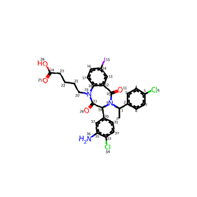 CC(c1ccc(Cl)cc1)N1C(=O)c2cc(I)ccc2N(CCCCC(=O)O)C(=O)C1c1ccc(Cl)c(N)c1